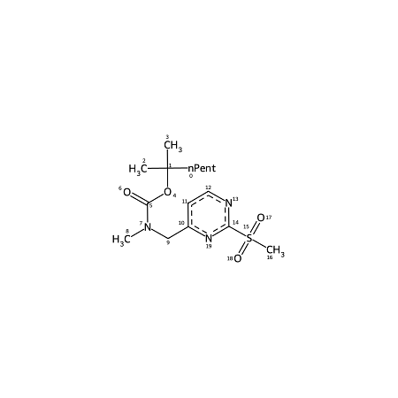 CCCCCC(C)(C)OC(=O)N(C)Cc1ccnc(S(C)(=O)=O)n1